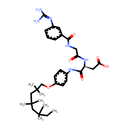 CCC(C)(C)CC(C)(C)CC(C)(C)COc1ccc(NC(=O)[C@H](CC(=O)O)NC(=O)CNC(=O)c2cccc(N=C(N)N)c2)cc1